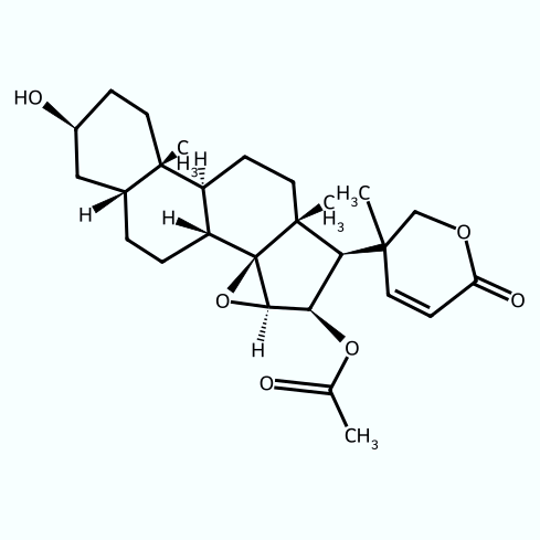 CC(=O)O[C@H]1[C@H]2O[C@]23[C@@H]2CC[C@@H]4C[C@@H](O)CC[C@]4(C)[C@H]2CC[C@]3(C)[C@H]1C1(C)C=CC(=O)OC1